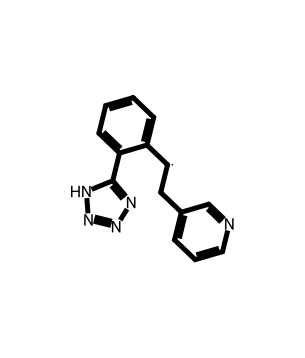 [CH](Cc1cccnc1)c1ccccc1-c1nnn[nH]1